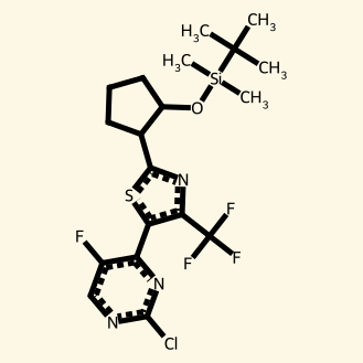 CC(C)(C)[Si](C)(C)OC1CCCC1c1nc(C(F)(F)F)c(-c2nc(Cl)ncc2F)s1